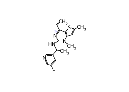 C=C/C(=N/CNC(C)c1cncc(F)c1)c1sc(C)cc1N=C